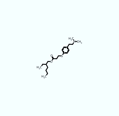 CCCCC(CC)COC(=O)CCSc1ccc(CCN(C)C)cc1